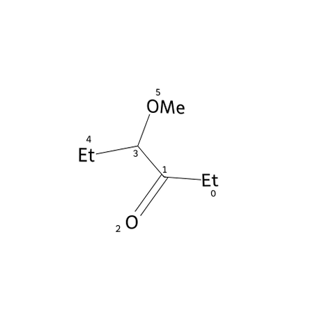 CCC(=O)C(CC)OC